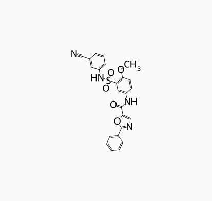 COc1ccc(NC(=O)c2cnc(-c3ccccc3)o2)cc1S(=O)(=O)Nc1cccc(C#N)c1